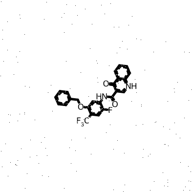 O=C(Nc1cc(OCc2ccccc2)c(C(F)(F)F)cc1F)c1c[nH]c2ccccc2c1=O